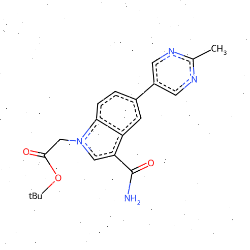 Cc1ncc(-c2ccc3c(c2)c(C(N)=O)cn3CC(=O)OC(C)(C)C)cn1